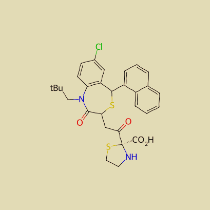 CC(C)(C)CN1C(=O)C(CC(=O)[C@@]2(C(=O)O)NCCS2)SC(c2cccc3ccccc23)c2cc(Cl)ccc21